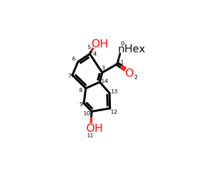 CCCCCCC(=O)c1c(O)ccc2cc(O)ccc12